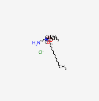 CCCCCCCCCCCCCO[Si](OC)(OC)[N+](C)(C)CCCN.[Cl-]